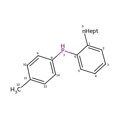 CCCCCCCc1ccccc1Pc1ccc(C)cc1